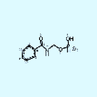 O=C(NCO[PH](=O)O)c1ccccc1